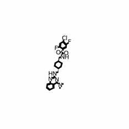 CN(C)c1nc(NC[C@H]2CC[C@H](CNS(=O)(=O)c3cc(F)c(Cl)cc3F)CC2)nc2ccccc12